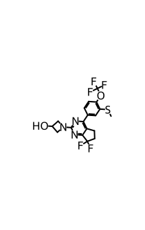 CSc1cc(-c2nc(N3CC(O)C3)nc3c2CCC3(F)F)ccc1OC(F)(F)F